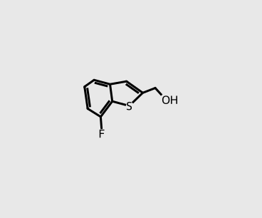 OCc1cc2cccc(F)c2s1